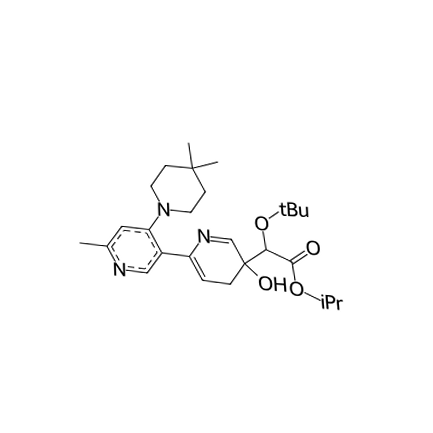 Cc1cc(N2CCC(C)(C)CC2)c(C2=CCC(O)(C(OC(C)(C)C)C(=O)OC(C)C)C=N2)cn1